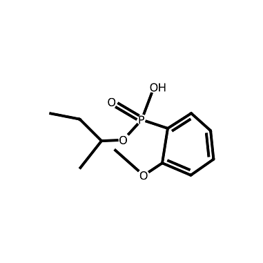 CCC(C)OP(=O)(O)c1ccccc1OC